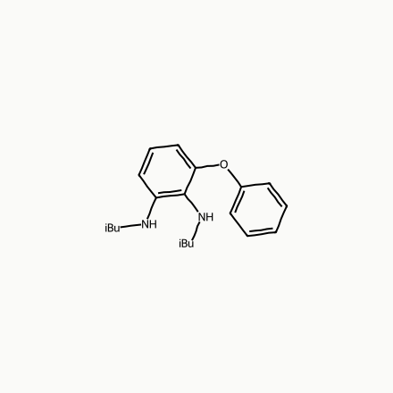 CCC(C)Nc1cccc(Oc2ccccc2)c1NC(C)CC